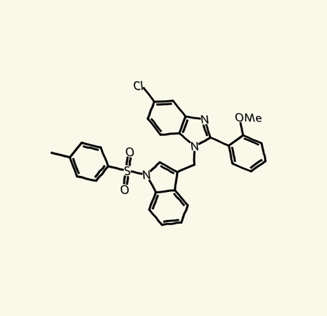 COc1ccccc1-c1nc2cc(Cl)ccc2n1Cc1cn(S(=O)(=O)c2ccc(C)cc2)c2ccccc12